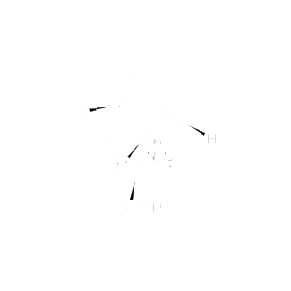 N[C@H]1[C@@H]2CC[C@H]1C[C@H](C(=O)O)C2